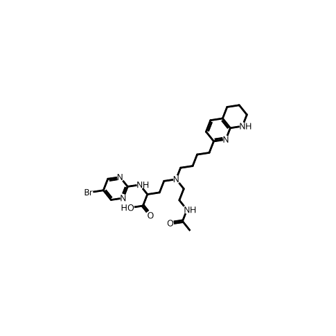 CC(=O)NCCN(CCCCc1ccc2c(n1)NCCC2)CCC(Nc1ncc(Br)cn1)C(=O)O